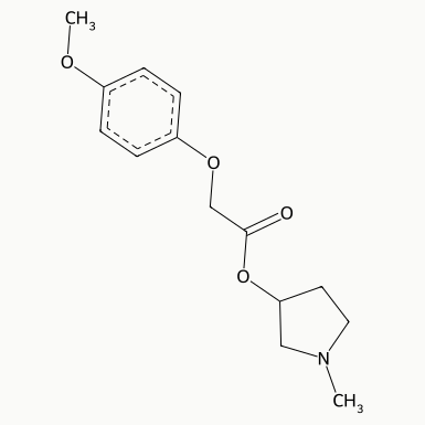 COc1ccc(OCC(=O)OC2CCN(C)C2)cc1